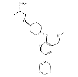 C/N=C/c1cc(-c2ccccc2)cnc1O[C@H]1CC[C@H](OC[C@H](C)NC(C)=O)CC1